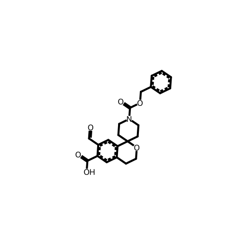 O=Cc1cc2c(cc1C(=O)O)CCOC21CCN(C(=O)OCc2ccccc2)CC1